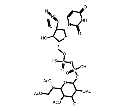 C=C[C@@]1(N=[N+]=[N-])[C@H](O)[C@@H](COP(=O)(S)OP(=O)(O)OC2OC([C@H](COC(C)=O)OC(C)=O)C(OC(C)=O)C(O)C2OC(C)=O)O[C@H]1n1ccc(=O)[nH]c1=O